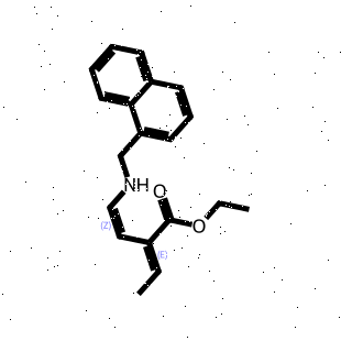 C/C=C(\C=C/NCc1cccc2ccccc12)C(=O)OCC